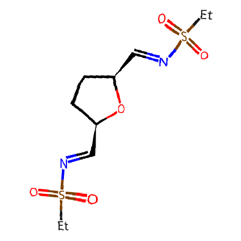 CCS(=O)(=O)/N=C/[C@@H]1CC[C@H](/C=N/S(=O)(=O)CC)O1